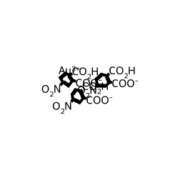 O=C([O-])c1cc([N+](=O)[O-])ccc1C(=O)O.O=C([O-])c1cc([N+](=O)[O-])ccc1C(=O)O.O=C([O-])c1cc([N+](=O)[O-])ccc1C(=O)O.[Au+3]